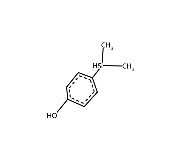 C[SiH](C)c1ccc(O)cc1